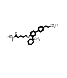 CC1(c2cc(-c3ccc(CCC(=O)O)cc3)ccc2OCCCCC(=O)NO)CCCCC1